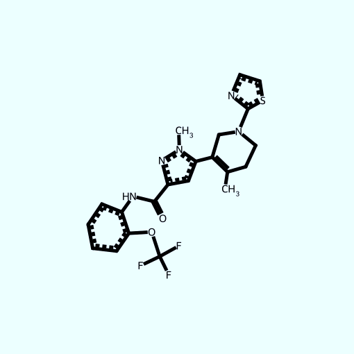 CC1=C(c2cc(C(=O)Nc3ccccc3OC(F)(F)F)nn2C)CN(c2nccs2)CC1